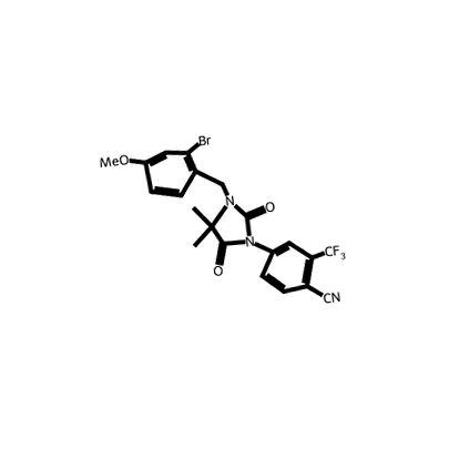 COc1ccc(CN2C(=O)N(c3ccc(C#N)c(C(F)(F)F)c3)C(=O)C2(C)C)c(Br)c1